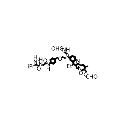 CCc1c2c(nc3ccc(N(CCNC=O)CCOCc4ccc(NC(=O)CNC(=O)C(N)C(C)C)cc4)cc13)-c1cc(C)c(COC=O)c(=O)n1C2